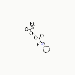 CCSC(=O)OCOC(=O)/C(F)=C/c1ccccc1